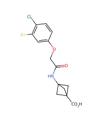 O=C(COc1ccc(Cl)c(F)c1)NC12CC(C(=O)O)(C1)C2